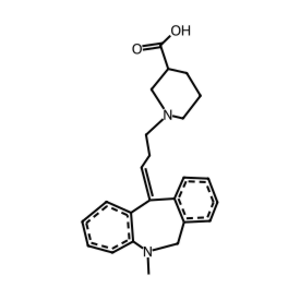 CN1Cc2ccccc2C(=CCCN2CCCC(C(=O)O)C2)c2ccccc21